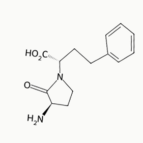 N[C@@H]1CCN([C@@H](CCc2ccccc2)C(=O)O)C1=O